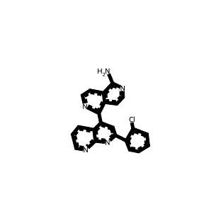 Nc1nccc2c(-c3cc(-c4ccccc4Cl)nc4ncccc34)nccc12